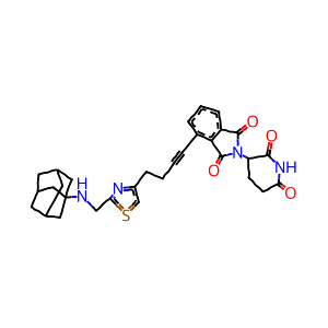 O=C1CCC(N2C(=O)c3cccc(C#CCCc4csc(CNC56CC7CC(CC(C7)C5)C6)n4)c3C2=O)C(=O)N1